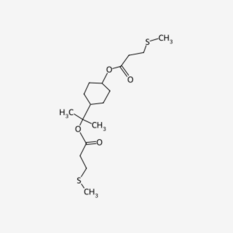 CSCCC(=O)OC1CCC(C(C)(C)OC(=O)CCSC)CC1